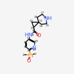 CP(C)(=O)c1ccc(NC(=O)C2CC23CCNCC3)cn1